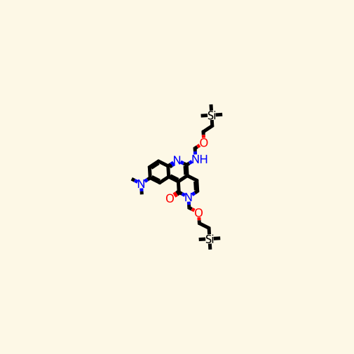 CN(C)c1ccc2nc(NCOCC[Si](C)(C)C)c3ccn(COCC[Si](C)(C)C)c(=O)c3c2c1